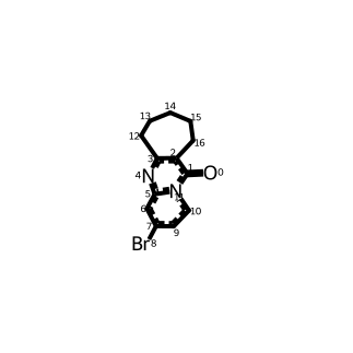 O=c1c2c(nc3cc(Br)ccn13)CCCCC2